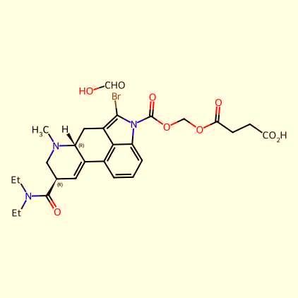 CCN(CC)C(=O)[C@@H]1C=C2c3cccc4c3c(c(Br)n4C(=O)OCOC(=O)CCC(=O)O)C[C@H]2N(C)C1.O=CO